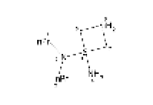 CCCN(CCC)S1(N)C[SiH2]C1